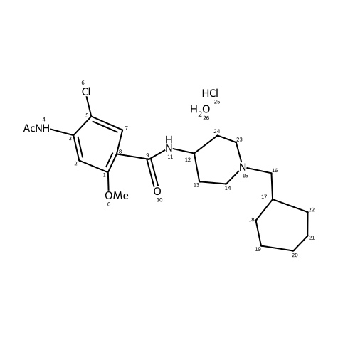 COc1cc(NC(C)=O)c(Cl)cc1C(=O)NC1CCN(CC2CCCCC2)CC1.Cl.O